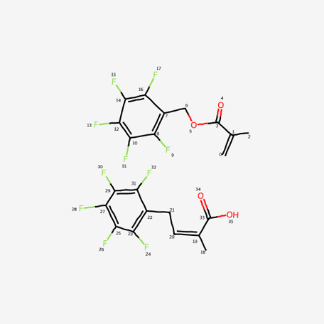 C=C(C)C(=O)OCc1c(F)c(F)c(F)c(F)c1F.CC(=CCc1c(F)c(F)c(F)c(F)c1F)C(=O)O